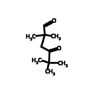 CC(C)(C=O)CC(=O)C(C)(C)C